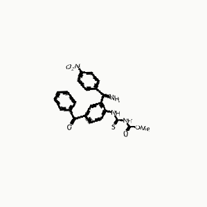 COC(=O)NC(=S)Nc1ccc(C(=O)c2ccccc2)cc1C(=N)c1ccc([N+](=O)[O-])cc1